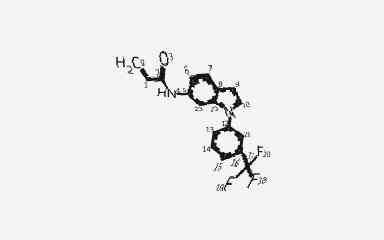 C=CC(=O)Nc1ccc2ccn(-c3cccc(C(F)(F)F)c3)c2c1